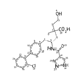 CC(CCO)(C[C@@H](Cc1ccc(-c2ccccc2Cl)cc1)NC(=O)c1c[nH]nn1)C(=O)O